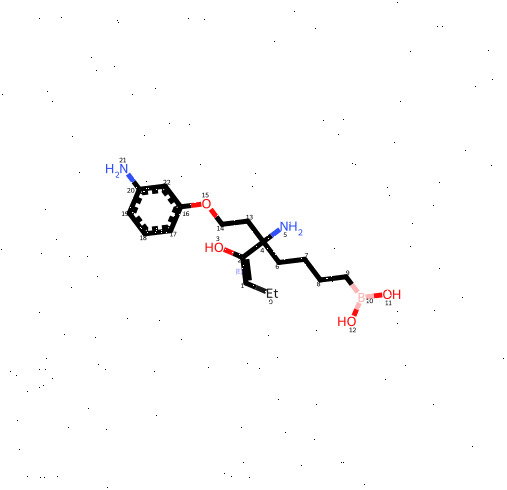 CC/C=C(/O)C(N)(CCCCB(O)O)CCOc1cccc(N)c1